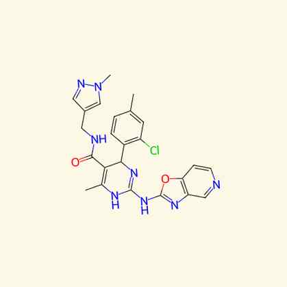 CC1=C(C(=O)NCc2cnn(C)c2)C(c2ccc(C)cc2Cl)N=C(Nc2nc3cnccc3o2)N1